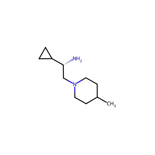 CC1CCN(C[C@@H](N)C2CC2)CC1